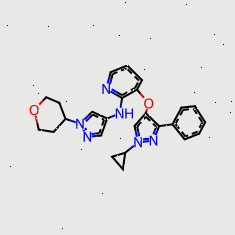 c1ccc(-c2nn(C3CC3)cc2Oc2cccnc2Nc2cnn(C3CCOCC3)c2)cc1